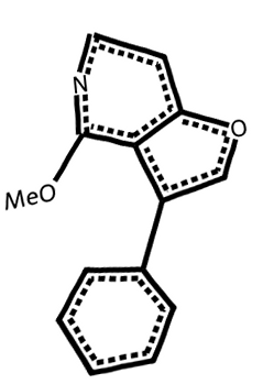 COc1nccc2occ(-c3ccccc3)c12